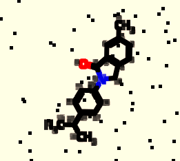 Cc1ccc2c(c1)C(=O)N(c1ccc(C(C)C)cc1)C2